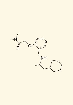 CC(CC1CCCCC1)NCc1ccccc1OCC(=O)N(C)C